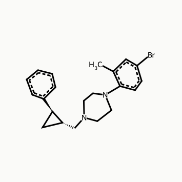 Cc1cc(Br)ccc1N1CCN(C[C@@H]2C[C@H]2c2ccccc2)CC1